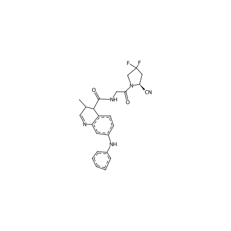 CC1C=Nc2cc(Nc3ccccc3)ccc2C1C(=O)NCC(=O)N1CC(F)(F)C[C@H]1C#N